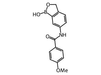 COc1ccc(C(=O)Nc2ccc3c(c2)B(O)OC3)cc1